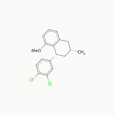 COc1cccc2c1[C@@H](c1ccc(Cl)c(Cl)c1)C[C@@H](C)C2